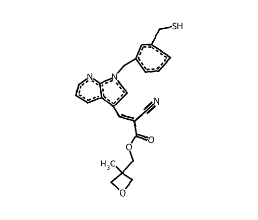 CC1(COC(=O)/C(C#N)=C/c2cn(Cc3cccc(CS)c3)c3ncccc23)COC1